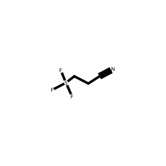 N#CCCS(F)(F)F